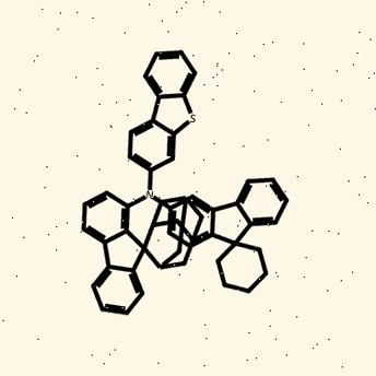 c1ccc2c(c1)-c1cc(N(c3ccc4c(c3)sc3ccccc34)c3cccc4c3C3(c5ccccc5-4)C4CC5CC(C4)CC3C5)ccc1C21CCCCC1